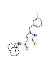 O=C(NC12CC3CC(CC(C3)C1)C2)c1cn(Cc2cccc(F)c2)[nH]c1=O